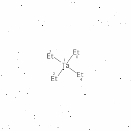 C[CH2][Ta]([CH2]C)([CH2]C)[CH2]C